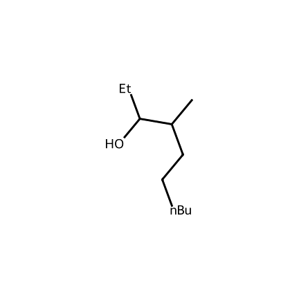 CCCCCCC(C)C(O)CC